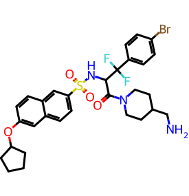 NCC1CCN(C(=O)C(NS(=O)(=O)c2ccc3cc(OC4CCCC4)ccc3c2)C(F)(F)c2ccc(Br)cc2)CC1